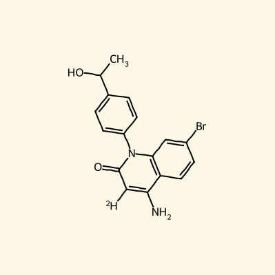 [2H]c1c(N)c2ccc(Br)cc2n(-c2ccc(C(C)O)cc2)c1=O